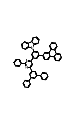 c1ccc(-c2cc(-c3ccccc3)cc(-c3cc(-c4cc(-c5ccc6c7ccccc7c7ccccc7c6c5)cc(-n5c6ccccc6c6ccccc65)c4)nc(-c4ccccc4)n3)c2)cc1